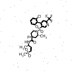 C[C@H](/C=C\S(C)(=O)=O)NC(=O)[C@]1(F)CCN(S(=O)(=O)c2cnc(C(F)(F)F)cc2-c2ccccc2Cl)[C@H](C)C1